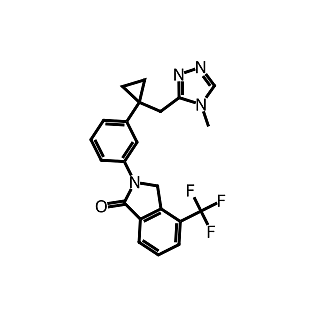 Cn1cnnc1CC1(c2cccc(N3Cc4c(cccc4C(F)(F)F)C3=O)c2)CC1